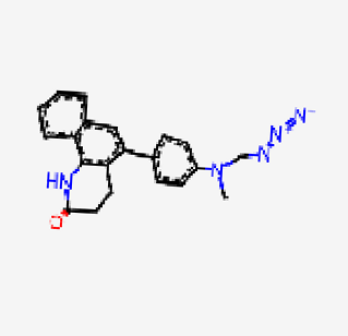 CN(CN=[N+]=[N-])c1ccc(-c2cc3ccccc3c3c2CCC(=O)N3)cc1